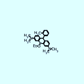 CCOP1c2cc(N(C)C)ccc2C(c2ccccc2C)c2ccc(N(C)C)cc21